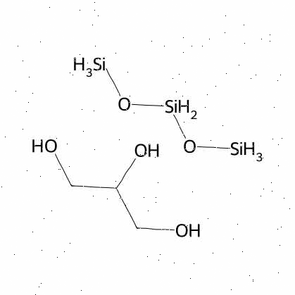 OCC(O)CO.[SiH3]O[SiH2]O[SiH3]